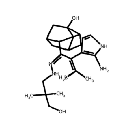 B/C(C)=C(\C(=N/NCC(C)(C)CO)C1C2CC3CC1C(O)(C3)C2)c1cc[nH]c1N